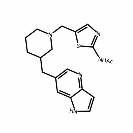 CC(=O)Nc1ncc(CN2CCCC(Cc3cnc4cc[nH]c4c3)C2)s1